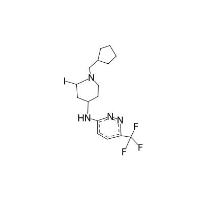 FC(F)(F)c1ccc(NC2CCN(CC3CCCC3)C(I)C2)nn1